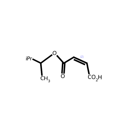 CC(C)C(C)OC(=O)/C=C\C(=O)O